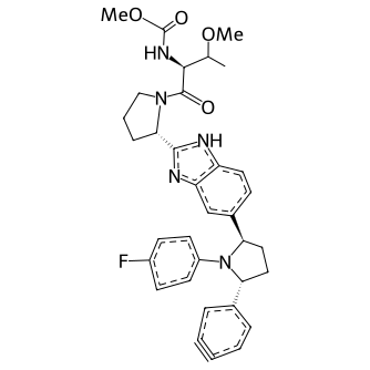 COC(=O)N[C@H](C(=O)N1CCC[C@H]1c1nc2cc([C@H]3CC[C@H](c4cc#ccc4)N3c3ccc(F)cc3)ccc2[nH]1)C(C)OC